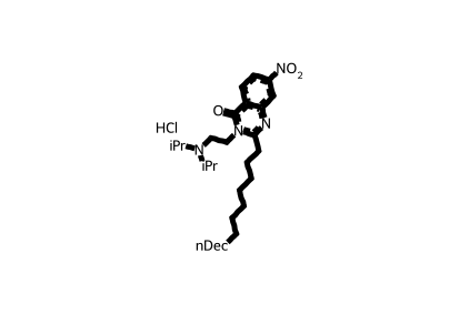 CCCCCCCCCCCCCCCCCc1nc2cc([N+](=O)[O-])ccc2c(=O)n1CCN(C(C)C)C(C)C.Cl